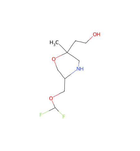 CC1(CCO)CNC(COC(F)F)CO1